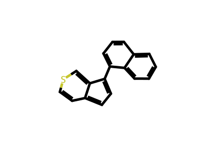 c1ccc2c(-c3ccc4ccscc3-4)cccc2c1